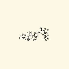 Cc1c(Nc2c(C#N)cnc3sc(C=CC(=O)N4CCC[C@H]4CN4CCCC4)cc23)ccc2[nH]ccc12